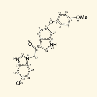 COc1ccc(Oc2ccc3c(C(=O)Cn4cnc5cc(Cl)ccc54)c[nH]c3c2)cc1